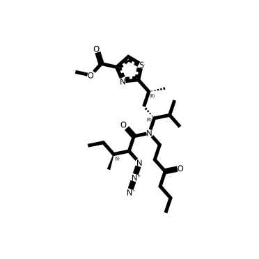 CCCC(=O)CCN(C(=O)C(N=[N+]=[N-])[C@@H](C)CC)[C@H](C[C@@H](C)c1nc(C(=O)OC)cs1)C(C)C